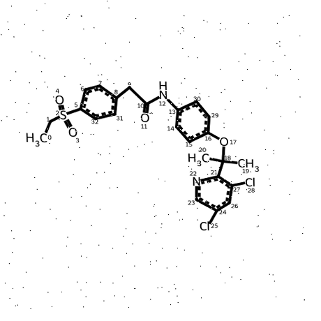 CCS(=O)(=O)c1ccc(CC(=O)Nc2ccc(OC(C)(C)c3ncc(Cl)cc3Cl)cc2)cc1